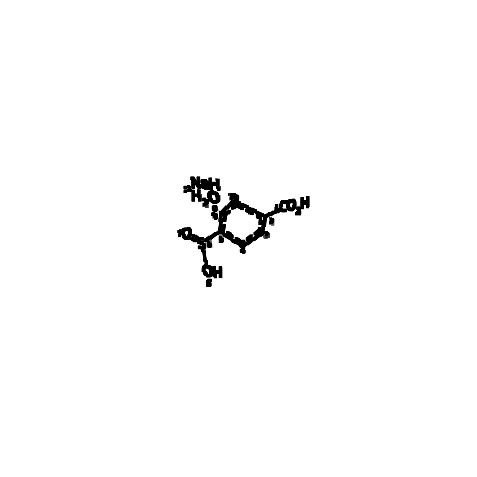 O.O=C(O)c1ccc(S(=O)O)cc1.[NaH]